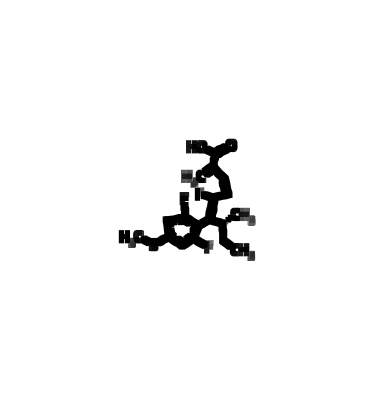 C=C(/C=C\C(F)=C(\c1c(F)cc(SC)cc1F)[C@H](C)CC)C(=O)O